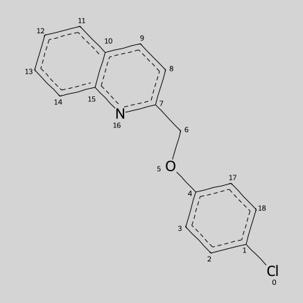 Clc1ccc(OCc2ccc3ccccc3n2)cc1